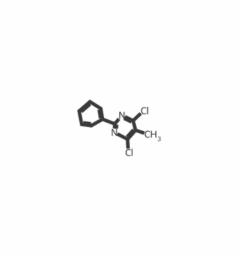 Cc1c(Cl)nc(-c2ccccc2)nc1Cl